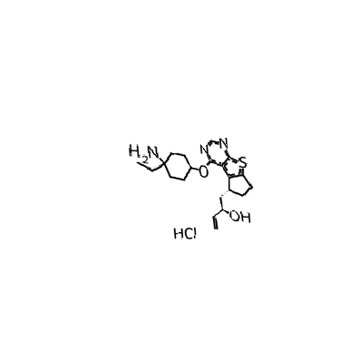 C=C[C@H](O)C[C@H]1CCc2sc3ncnc(OC4CCC(N)(CC)CC4)c3c21.Cl